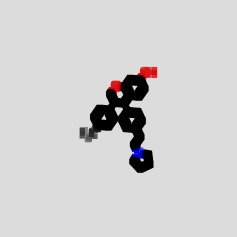 Oc1ccc2c(c1)OC[C@H](c1ccc(C(F)(F)F)cc1)[C@@H]2c1ccc(CCN2CCCC2)cc1